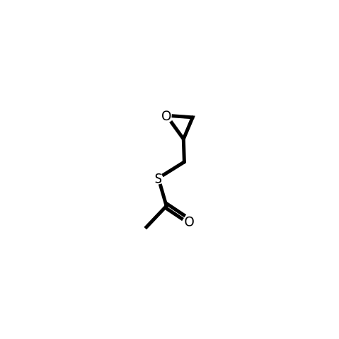 CC(=O)SCC1CO1